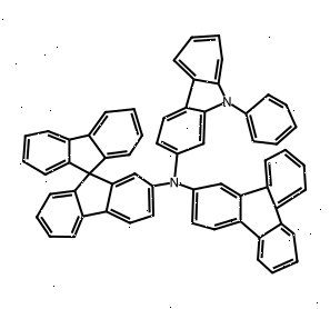 c1ccc(-n2c3ccccc3c3ccc(N(c4ccc5c(c4)C4(c6ccccc6-c6ccccc64)c4ccccc4-5)c4ccc5c6ccccc6c6ccccc6c5c4)cc32)cc1